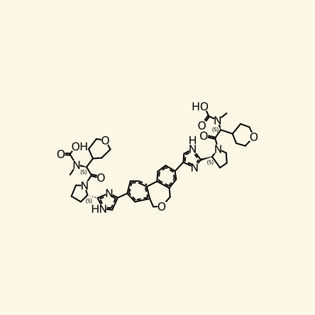 CN(C(=O)O)[C@H](C(=O)N1CCC[C@H]1c1nc(-c2ccc3c(c2)COCc2cc(-c4c[nH]c([C@@H]5CCCN5C(=O)[C@H](C5CCOCC5)N(C)C(=O)O)n4)ccc2-3)c[nH]1)C1CCOCC1